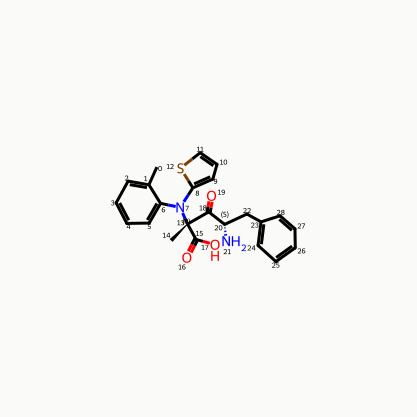 Cc1ccccc1N(c1cccs1)[C@@](C)(C(=O)O)C(=O)[C@@H](N)Cc1ccccc1